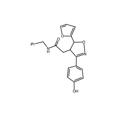 CC(C)CNC(=O)CC1C(c2ccc(O)cc2)=NOC1c1ccco1